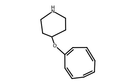 C1=C\C=C/C(OC2CCNCC2)=C\C=C/1